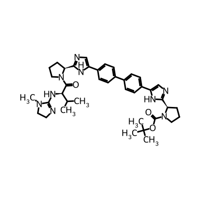 CC(C)[C@@H](NC1=NCCN1C)C(=O)N1CCC[C@H]1c1ncc(-c2ccc(-c3ccc(-c4cnc([C@H]5CCCN5C(=O)OC(C)(C)C)[nH]4)cc3)cc2)[nH]1